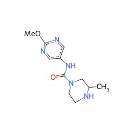 COc1ncc(NC(=O)N2CCNC(C)C2)cn1